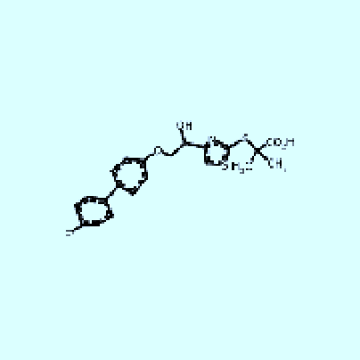 CC(C)(Sc1nc(C(O)COc2ccc(-c3ccc(F)cc3)cc2)cs1)C(=O)O